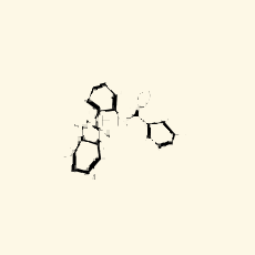 O=C(Nc1ccccc1-n1nc2ccccc2n1)c1ccccc1